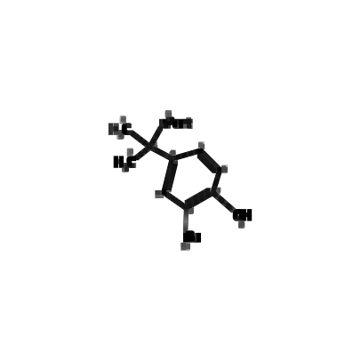 CCCCCC(C)(C)c1ccc(O)c(C(C)CC)c1